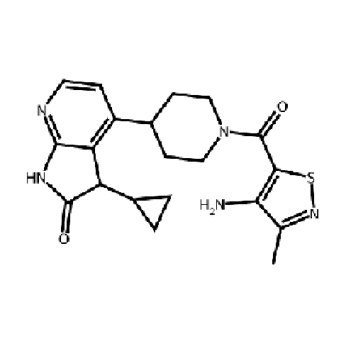 Cc1nsc(C(=O)N2CCC(c3ccnc4c3C(C3CC3)C(=O)N4)CC2)c1N